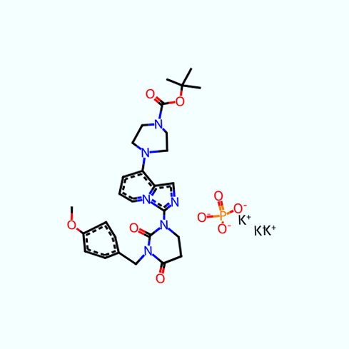 COc1ccc(CN2C(=O)CCN(c3ncc4c(N5CCN(C(=O)OC(C)(C)C)CC5)cccn34)C2=O)cc1.O=P([O-])([O-])[O-].[K+].[K+].[K+]